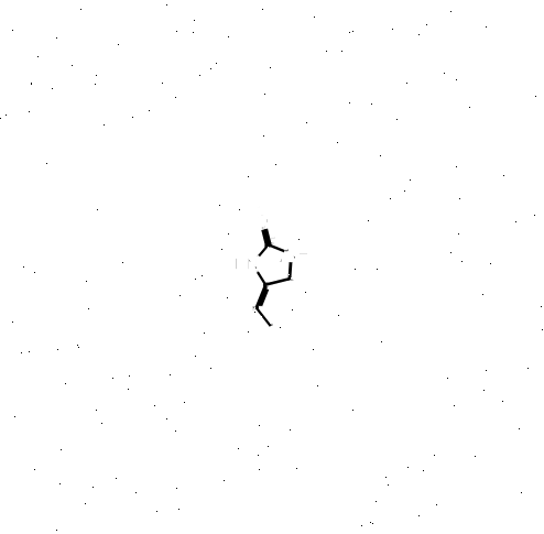 C/C=C1\CNC(=O)N1